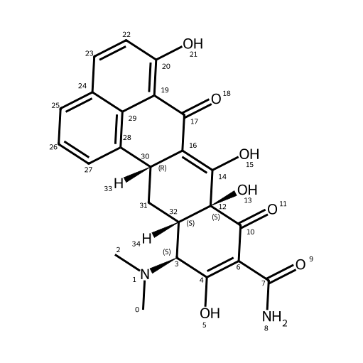 CN(C)[C@@H]1C(O)=C(C(N)=O)C(=O)[C@@]2(O)C(O)=C3C(=O)c4c(O)ccc5cccc(c45)[C@H]3C[C@@H]12